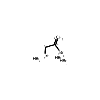 Br.Br.Br.C=C(Br)C[Te]